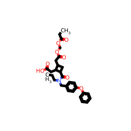 CCCN(Cc1ccc(Oc2ccccc2)cc1)C(=O)C1CC(CC(=O)OCOC(=O)CC)C1CC(=O)O